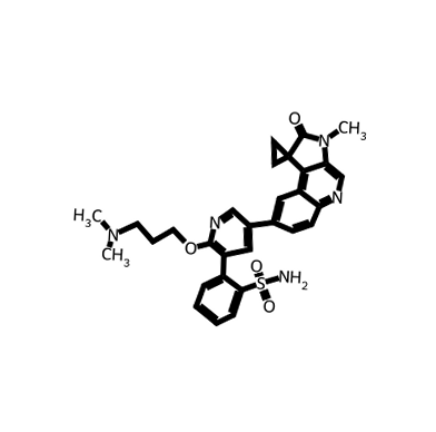 CN(C)CCCOc1ncc(-c2ccc3ncc4c(c3c2)C2(CC2)C(=O)N4C)cc1-c1ccccc1S(N)(=O)=O